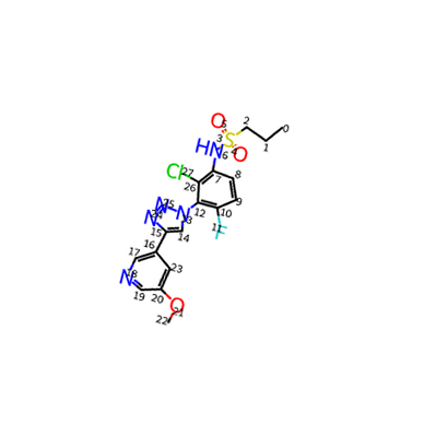 CCCS(=O)(=O)Nc1ccc(F)c(-n2cc(-c3cncc(OC)c3)nn2)c1Cl